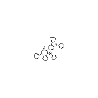 O=C1CC(c2ccccc2)c2ccccc2-c2c1c1cc3c4ccccc4n(-c4ccccc4)c3cc1n2-c1ccccc1